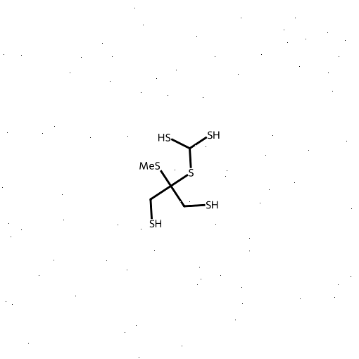 CSC(CS)(CS)SC(S)S